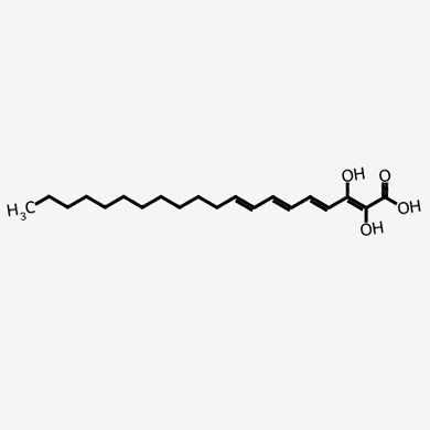 CCCCCCCCCCCC=CC=CC=CC(O)=C(O)C(=O)O